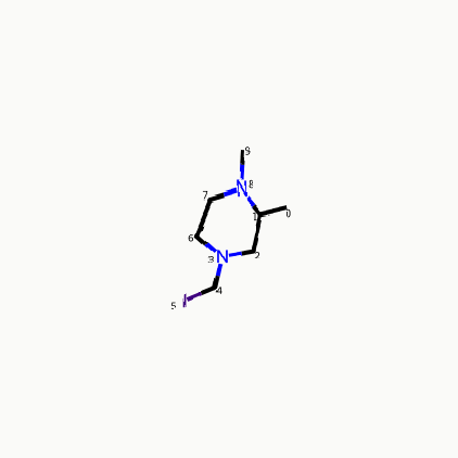 CC1CN(CI)CCN1C